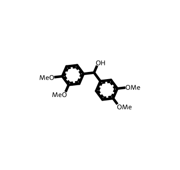 COc1ccc(C(O)c2ccc(OC)c(OC)c2)cc1OC